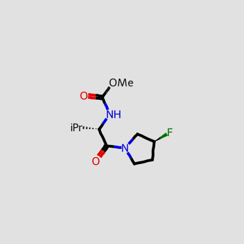 COC(=O)N[C@H](C(=O)N1CC[C@H](F)C1)C(C)C